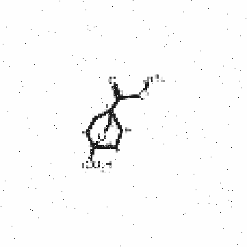 CCCCOC(=O)C12CCC(C(=O)O)(CC1)OC2